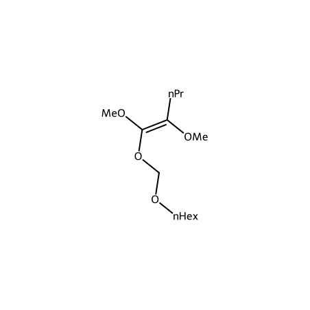 CCCCCCOCOC(OC)=C(CCC)OC